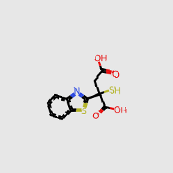 O=C(O)CC(S)(C(=O)O)c1nc2ccccc2s1